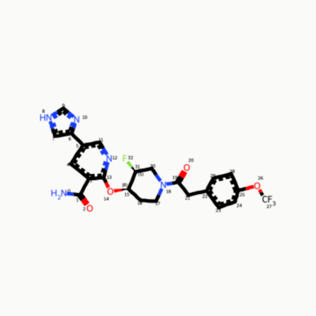 NC(=O)c1cc(-c2c[nH]cn2)cnc1O[C@@H]1CCN(C(=O)Cc2ccc(OC(F)(F)F)cc2)C[C@@H]1F